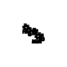 CNC(=O)c1ccc(-n2cc(-c3cc4ccccc4[nH]c3=O)nn2)cc1F